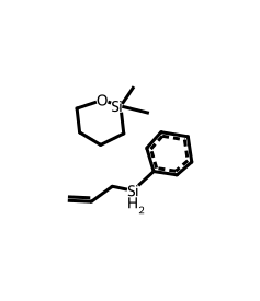 C=CC[SiH2]c1ccccc1.C[Si]1(C)CCCCO1